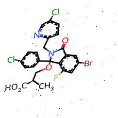 C[C@H](COC1(c2ccc(Cl)cc2)c2c(F)cc(Br)cc2C(=O)N1Cc1ccc(Cl)cn1)C(=O)O